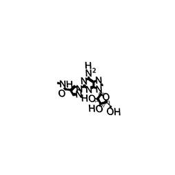 CNC(=O)c1cnn(-c2nc(N)c3ncn([C@@H]4O[C@H](CO)[C@@H](O)[C@@H]4O)c3n2)c1